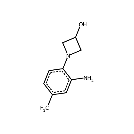 Nc1cc(C(F)(F)F)ccc1N1CC(O)C1